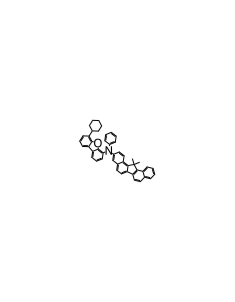 CC1(C)c2c(ccc3ccccc23)-c2ccc3cc(N(c4ccccc4)c4cccc5c4oc4c(C6CCCCC6)cccc45)ccc3c21